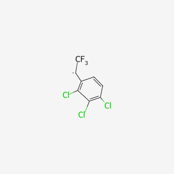 FC(F)(F)[CH]c1ccc(Cl)c(Cl)c1Cl